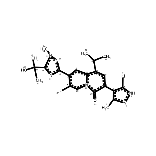 Cc1n[nH]c(Cl)c1-c1cc(C(C)C)c2cc(-c3nc(C(C)(C)O)n(C)n3)c(F)cn2c1=O